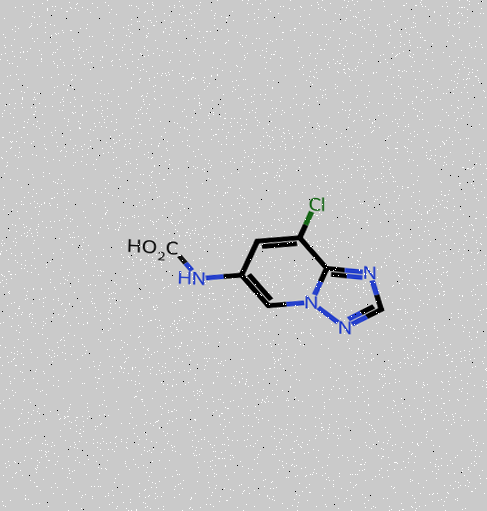 O=C(O)Nc1cc(Cl)c2ncnn2c1